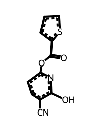 N#Cc1ccc(OC(=O)c2cccs2)nc1O